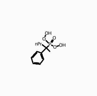 CCCC(C)(c1ccccc1)P(=O)(OO)OO